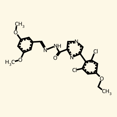 CCOc1cc(Cl)c(-c2cncc(C(=O)NN=Cc3cc(OC)cc(OC)c3)n2)c(Cl)c1